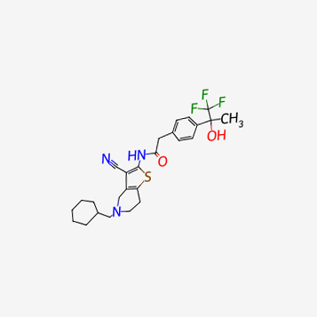 CC(O)(c1ccc(CC(=O)Nc2sc3c(c2C#N)CN(CC2CCCCC2)CC3)cc1)C(F)(F)F